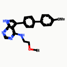 CCOCCNc1ncnc2[nH]cc(-c3ccc(-c4ccc(OC)cc4)cc3)c12